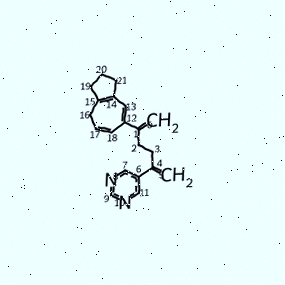 C=C(CCC(=C)c1cncnc1)C1=CC2=C(CC=C1)CCC2